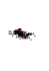 CCCCCC[C@@H](O[C@@H](C)NC(=O)[C@@H](C)COCCCN)[C@@H](C)C(=O)N(C)[C@@H](CC(C)C)C(=O)N[C@H](C(=O)N[C@@H](CN)C(N)=O)C1CCCCC1